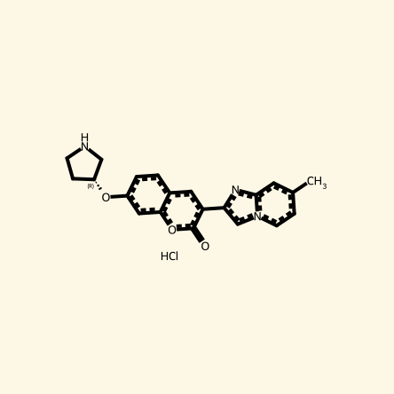 Cc1ccn2cc(-c3cc4ccc(O[C@@H]5CCNC5)cc4oc3=O)nc2c1.Cl